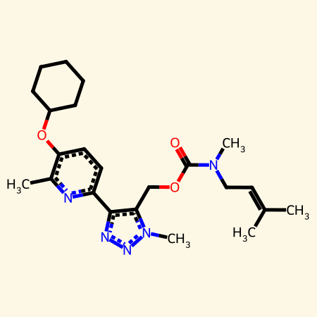 CC(C)=CCN(C)C(=O)OCc1c(-c2ccc(OC3CCCCC3)c(C)n2)nnn1C